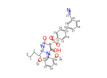 CCCCc1nc(=O)c(S(=O)(=O)c2ccc(-c3cccc(C#N)c3)cc2)c(O)n1-c1c(OC)cccc1OC